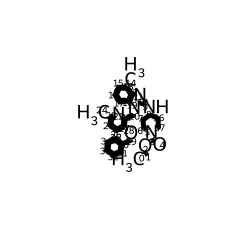 CCOC(=O)N1CCC(Nc2nc3c(C)cccc3n2Cc2nc(C)ccc2OCc2ccccc2)CC1